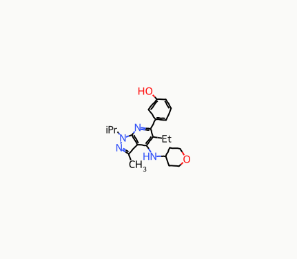 CCc1c(-c2cccc(O)c2)nc2c(c(C)nn2C(C)C)c1NC1CCOCC1